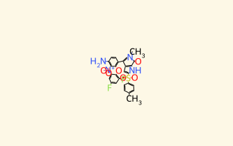 Cc1ccc(S(=O)(=O)c2cc3c(-c4ccc(N)c([N+](=O)[O-])c4Oc4ccc(F)cc4F)cn(C)c(=O)c3[nH]2)cc1